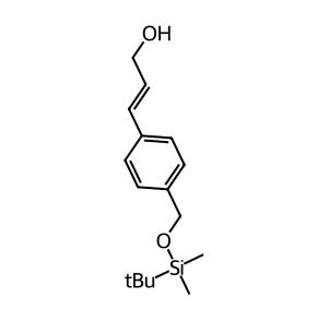 CC(C)(C)[Si](C)(C)OCc1ccc(C=CCO)cc1